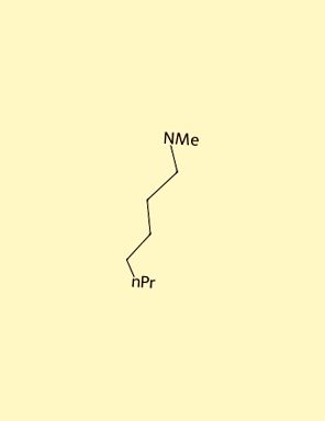 C[CH]CCCCCNC